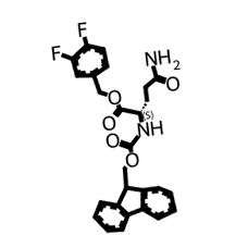 NC(=O)CC[C@H](NC(=O)OCC1c2ccccc2-c2ccccc21)C(=O)OCc1ccc(F)c(F)c1